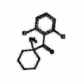 O=C(c1c(Cl)cccc1Cl)C1(P)CCCCC1